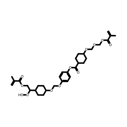 C=C(C)C(=O)OCOCOC1CCC(C(=O)Oc2ccc(OCOC3CCC(C(COC(=O)C(=C)C)OO)CC3)cc2)CC1